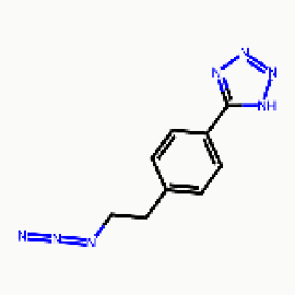 [N-]=[N+]=NCCc1ccc(-c2nnn[nH]2)cc1